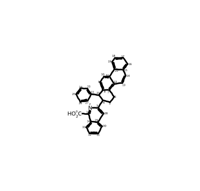 O=C(O)c1nc(C2CCc3c(ccc4c3ccc3ccccc34)C2c2ccccc2)cc2ccccc12